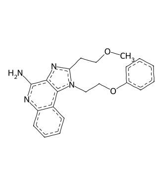 COCCc1nc2c(N)nc3ccccc3c2n1CCOc1ccccc1